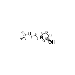 CC(C=S)OCCCN1CCC[C@@H](O)C1